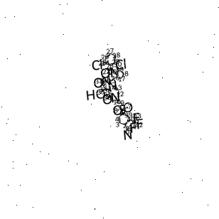 N#Cc1ccc(S(=O)(=O)CCN2CCn3c([C@@H]4CCCN4C(=O)c4c(Cl)cccc4Cl)nc(=O)c(O)c3C2=O)cc1C(F)(F)F